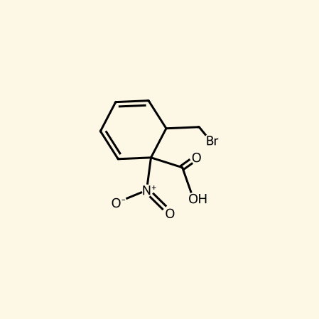 O=C(O)C1([N+](=O)[O-])C=CC=CC1CBr